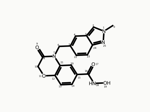 Cn1cc2cc(CN3C(=O)COc4ccc(C(=O)NO)cc43)ccc2n1